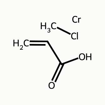 C=CC(=O)O.CCl.[Cr]